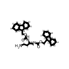 NCCC(CNC(=O)OCC1c2ccccc2-c2ccccc21)NC(=O)OCC1c2ccccc2-c2ccccc21